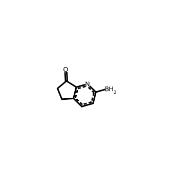 Bc1ccc2c(n1)C(=O)CC2